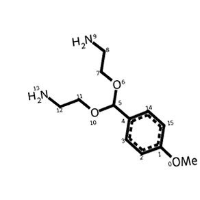 COc1ccc(C(OCCN)OCCN)cc1